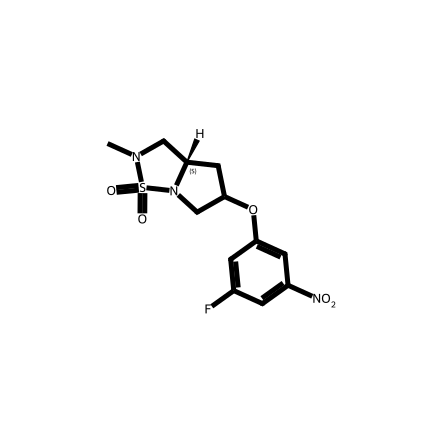 CN1C[C@@H]2CC(Oc3cc(F)cc([N+](=O)[O-])c3)CN2S1(=O)=O